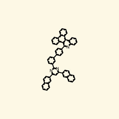 c1cc(-c2ccc(-c3nc4ccccc4c4c5ccccc5c5ccccc5c34)cc2)cc(-c2nc(-c3ccc4ccccc4c3)cc(-c3ccc4ccccc4c3)n2)c1